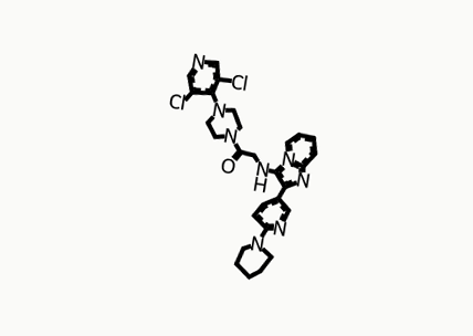 O=C(CNc1c(-c2ccc(N3CCCCC3)nc2)nc2ccccn12)N1CCN(c2c(Cl)cncc2Cl)CC1